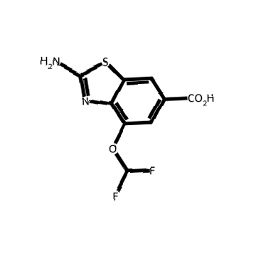 Nc1nc2c(OC(F)F)cc(C(=O)O)cc2s1